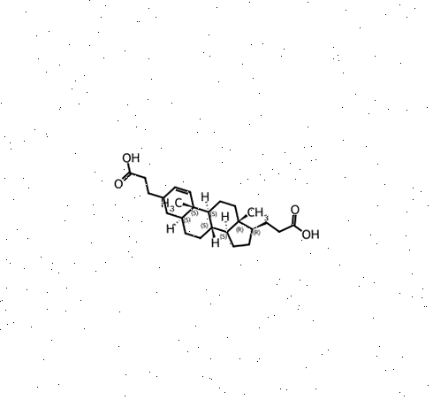 C[C@]12C=CC(CCC(=O)O)C[C@@H]1CC[C@@H]1[C@@H]2CC[C@]2(C)[C@@H](CCC(=O)O)CC[C@@H]12